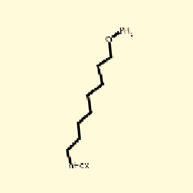 CCCCCCCCCCCCCCOP